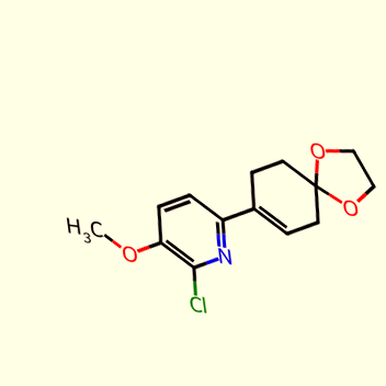 COc1ccc(C2=CCC3(CC2)OCCO3)nc1Cl